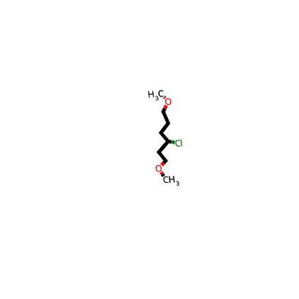 COCCC[C](Cl)CCOC